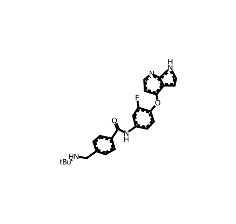 CC(C)(C)NCc1ccc(C(=O)Nc2ccc(Oc3ccnc4[nH]ccc34)c(F)c2)cc1